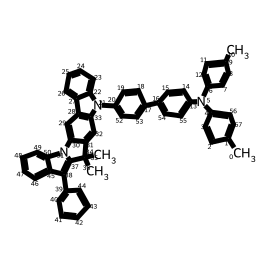 Cc1ccc(N(c2ccc(C)cc2)c2ccc(-c3ccc(-n4c5ccccc5c5cc6c(cc54)C(C)(C)c4c(-c5ccccc5)c5ccccc5n4-6)cc3)cc2)cc1